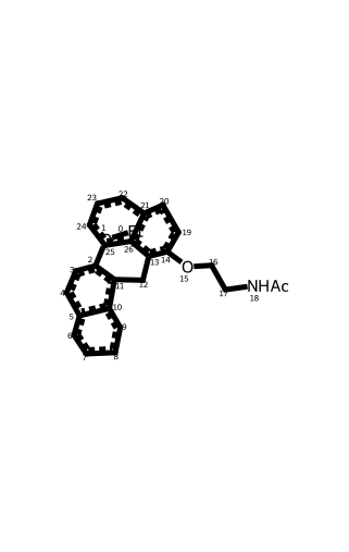 CCOc1ccc2ccccc2c1Cc1c(OCCNC(C)=O)ccc2ccccc12